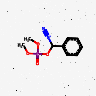 COP(=O)(OC)OC([N+]#N)c1ccccc1